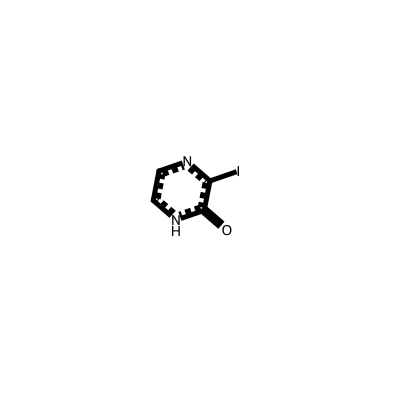 O=c1[nH]ccnc1I